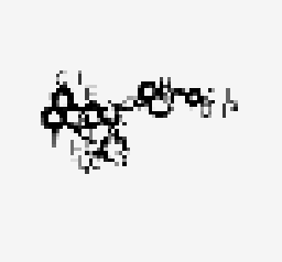 C#Cc1c(F)ccc2cc(O)cc(-c3ncc4c(N5CCOC[C@@](C)(O)C5)nc(OC[C@]56CCC[C@H]5N(CC5CC(C)(O)C5)CCC6)nc4c3F)c12